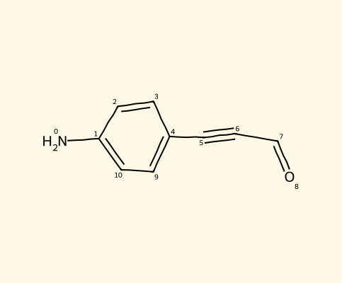 Nc1ccc(C#CC=O)cc1